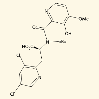 CCCCN(C(=O)c1nccc(OC)c1O)[C@@H](Cc1ncc(Cl)cc1Cl)C(=O)O